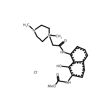 COC(=O)Nc1ccc2cccc(NC(=O)C[N+]3(C)CCN(C)CC3)c2c1O.[Cl-]